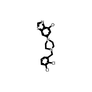 [O]c1cc(N2CCN(Cc3cccc(Cl)c3Cl)CC2)cc2scnc12